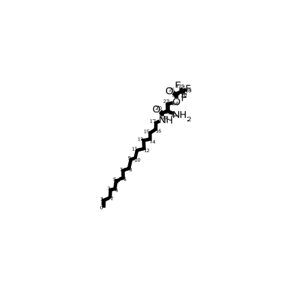 CCCCCCCCCCCCCCCCCCNC(=O)C(N)COC(=O)C(F)(F)F